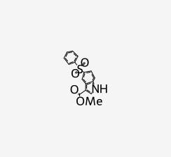 COC(=O)c1c[nH]c2ccc(S(=O)(=O)c3ccccc3)cc12